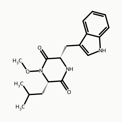 CON1C(=O)[C@H](Cc2c[nH]c3ccccc23)NC(=O)[C@@H]1CC(C)C